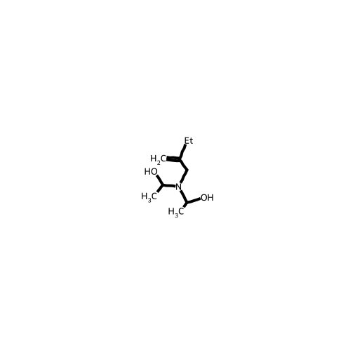 C=C(CC)CN(C(C)O)C(C)O